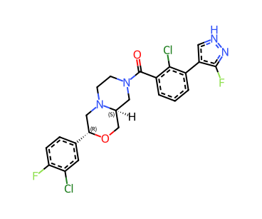 O=C(c1cccc(-c2c[nH]nc2F)c1Cl)N1CCN2C[C@@H](c3ccc(F)c(Cl)c3)OC[C@@H]2C1